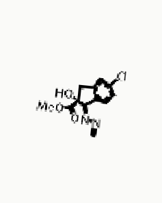 C=NN=C1c2ccc(Cl)cc2C[C@@]1(O)C(=O)OC